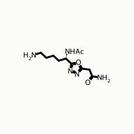 CC(=O)N[C@@H](CCCCN)c1nnc(CC(N)=O)o1